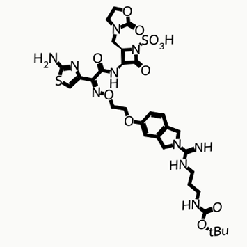 CC(C)(C)OC(=O)NCCCNC(=N)N1Cc2ccc(OCCO/N=C(\C(=O)N[C@@H]3C(=O)N(S(=O)(=O)O)[C@@H]3CN3CCOC3=O)c3csc(N)n3)cc2C1